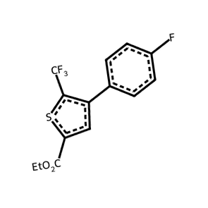 CCOC(=O)c1cc(-c2ccc(F)cc2)c(C(F)(F)F)s1